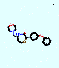 O=C1N[C@H](CN2CCOCC2)CCS[C@@H]1c1ccc(Oc2ccccc2)cc1